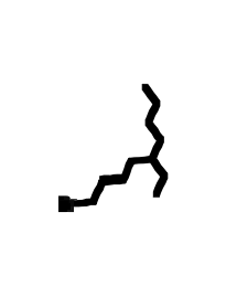 CCCCC(CC)CC=CCBr